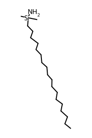 CCCCCCCCCCCCCCCCCC[Si](C)(C)N